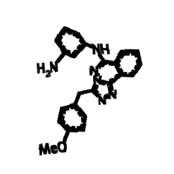 COc1ccc(Cc2nnc3c4ccccc4c(Nc4cccc(N)c4)nn23)cc1